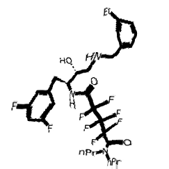 CCCN(CCC)C(=O)C(F)(F)C(F)(F)C(F)(F)C(=O)N[C@@H](Cc1cc(F)cc(F)c1)[C@H](O)CNCc1cccc(CC)c1